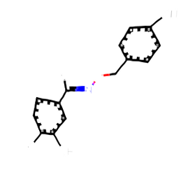 C/C(=N\OCc1ccc(C)cc1)c1ccc(C)c(C)c1